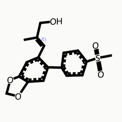 C/C(=C\c1cc2c(cc1-c1ccc(S(C)(=O)=O)cc1)OCO2)CO